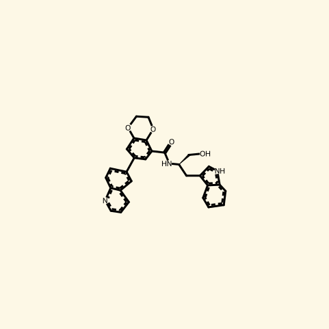 O=C(N[C@@H](CO)Cc1c[nH]c2ccccc12)c1cc(-c2ccc3ncccc3c2)cc2c1OCCO2